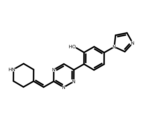 Oc1cc(-n2ccnc2)ccc1-c1cnc(C=C2CCNCC2)nn1